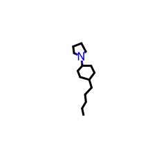 CCCCCC1CCC(N2CCCC2)CC1